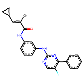 N#CC(=CC1CC1)C(=O)Nc1cccc(Nc2ncc(F)c(-c3ccccc3)n2)c1